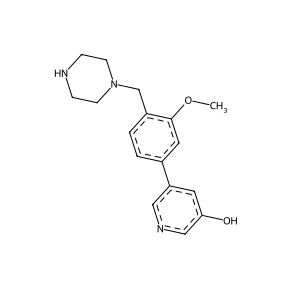 COc1cc(-c2cncc(O)c2)ccc1CN1CCNCC1